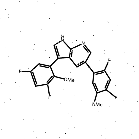 CNc1cc(-c2cnc3[nH]cc(-c4cc(F)cc(F)c4OC)c3c2)c(F)cc1F